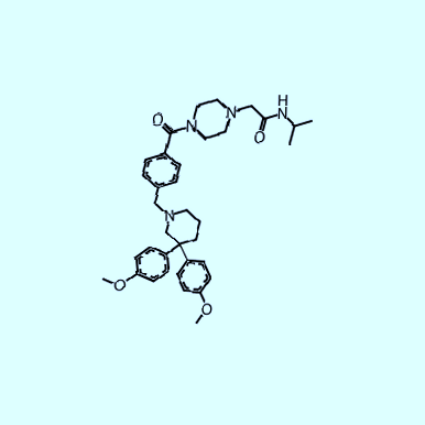 COc1ccc(C2(c3ccc(OC)cc3)CCCN(Cc3ccc(C(=O)N4CCN(CC(=O)NC(C)C)CC4)cc3)C2)cc1